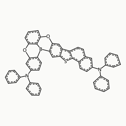 c1ccc(N(c2ccccc2)c2ccc3c(c2)Oc2cccc4c2B3c2cc3sc5c6ccc(N(c7ccccc7)c7ccccc7)cc6ccc5c3cc2O4)cc1